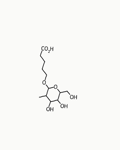 CC1C(OCCCCC(=O)O)OC(CO)C(O)C1O